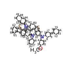 COc1ccc(N(c2ccc(-c3ccccc3)cc2)c2cc(N(c3ccccc3)c3ccccc3)c3c(c2)sc2ccc(N(c4ccc5ccccc5c4)c4cccc5c4sc4ccccc45)cc23)cc1